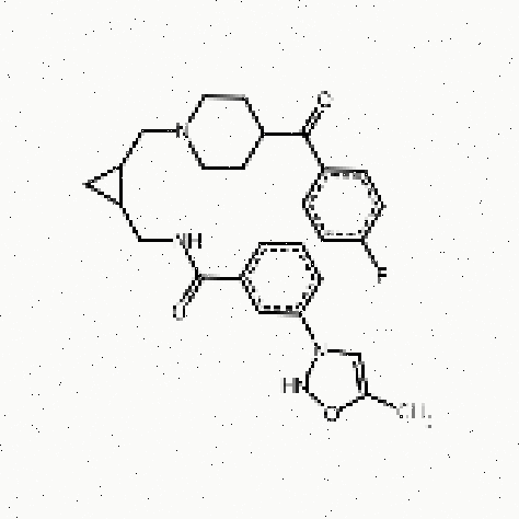 CC1=CN(c2cccc(C(=O)NCC3CC3CN3CCC(C(=O)c4ccc(F)cc4)CC3)c2)NO1